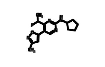 Cc1cc(-c2cnc(NC3CCCC3)nc2C(C)F)on1